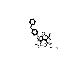 COC(=O)/C(=C1/C(=O)N(c2ccc(Cc3ccccc3)cc2)N=C1C)C(F)(F)F